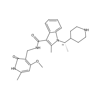 COc1cc(C)[nH]c(=O)c1CNC(=O)c1c(C)n([C@@H](C)C2CCNCC2)c2ccccc12